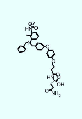 Cc1c(NS(C)(=O)=O)cccc1N(Cc1ccccc1)Cc1ccc(Oc2ccc(OCCCC(=O)N[C@@H](CCC(N)=O)C(=O)O)cc2)cc1